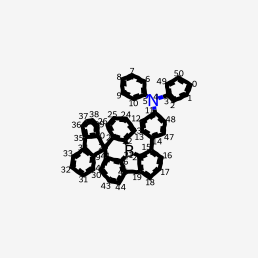 c1ccc(N(c2ccccc2)c2ccc(-c3cccc4c3B3c5ccccc5C5(c6ccccc6-c6ccccc65)c5cccc-4c53)cc2)cc1